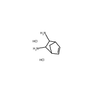 Cl.Cl.NC1C2C=CC(C2)C1N